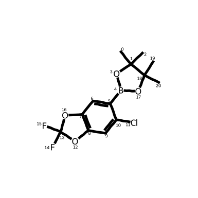 CC1(C)OB(c2cc3c(cc2Cl)OC(F)(F)O3)OC1(C)C